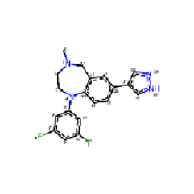 CN1CCN(c2cc(F)cc(F)c2)c2ccc(-c3cn[nH]c3)cc2C1